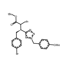 CCCC(C(=O)OC(C)(C)C)[C@H](Cc1ccc(Br)cc1)c1nnn(Cc2ccc(OC)cc2)n1